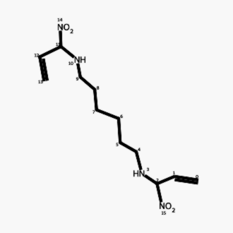 C=CC(NCCCCCCNC(C=C)[N+](=O)[O-])[N+](=O)[O-]